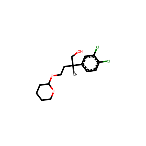 N#CC(CO)(CCOC1CCCCO1)c1ccc(Cl)c(Cl)c1